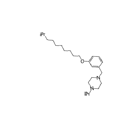 CC(C)CCCCCCCCOc1cccc(CN2CCN(C(C)C)CC2)c1